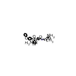 CN(C/C=C/C(=O)N1CC(n2c(=O)n(-c3ccc(Oc4ccccc4)cc3)c3c(N)ncnc32)C1)CC(N)=O